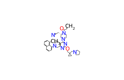 C=CC(=O)N1CCN(c2nc(OCC3(CN4CCCC4)CC3)nc3c2CCN(c2cccc4cccc(C)c24)C3)C[C@@H]1CC#N